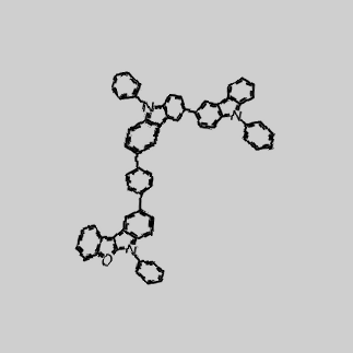 c1ccc(-n2c3ccccc3c3cc(-c4ccc5c(c4)c4cc(-c6ccc(-c7ccc8c(c7)c7c9ccccc9oc7n8-c7ccccc7)cc6)ccc4n5-c4ccccc4)ccc32)cc1